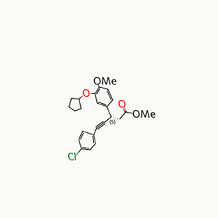 COC(=O)C[C@H](C#Cc1ccc(Cl)cc1)c1ccc(OC)c(OC2CCCC2)c1